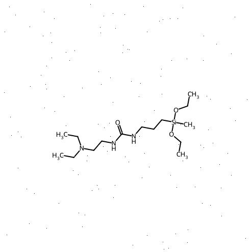 CCO[Si](C)(CCCNC(=O)NCCN(CC)CC)OCC